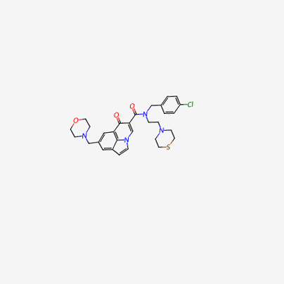 O=C(c1cn2ccc3cc(CN4CCOCC4)cc(c1=O)c32)N(CCN1CCSCC1)Cc1ccc(Cl)cc1